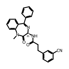 CN1C(=O)[C@H](NC(=O)CCc2cccc(C#N)c2)N=C(c2ccccc2)c2ccccc21